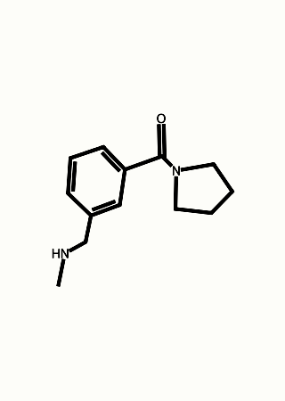 CNCc1cccc(C(=O)N2CCCC2)c1